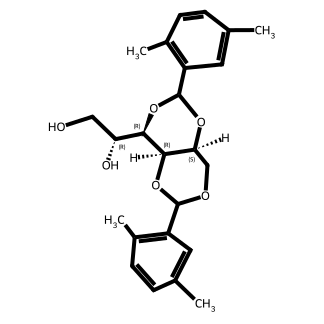 Cc1ccc(C)c(C2OC[C@@H]3OC(c4cc(C)ccc4C)O[C@H]([C@H](O)CO)[C@@H]3O2)c1